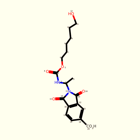 CC(NC(=O)OCCCCCCO)N1C(=O)c2ccc(C(=O)O)cc2C1=O